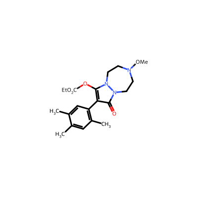 CCOC(=O)Oc1c(-c2cc(C)c(C)cc2C)c(=O)n2n1CCN(OC)CC2